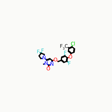 Cn1c(N2CCC(F)(F)C2)cc(OCc2cc(F)c(Oc3ccc(Cl)c(C(F)(F)F)c3)c(F)c2)nc1=O